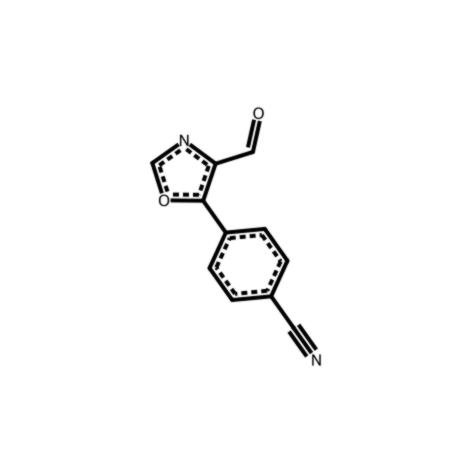 N#Cc1ccc(-c2ocnc2C=O)cc1